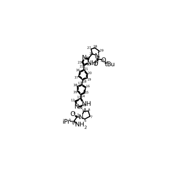 CC(C)[C@H](N)C(=O)N1CCC[C@H]1c1ncc(-c2ccc(-c3ccc(-c4cnc(C5CCCN5C(=O)OC(C)(C)C)[nH]4)cc3)cc2)[nH]1